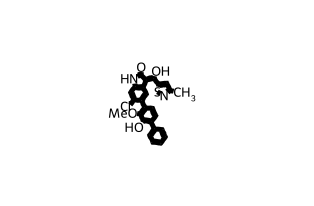 COc1c(-c2cc3c(cc2Cl)NC(=O)C3=C(O)c2cc(C)ns2)ccc(-c2ccccc2)c1O